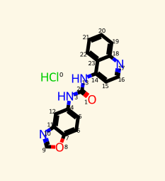 Cl.O=C(Nc1ccc2ocnc2c1)Nc1ccnc2ccccc12